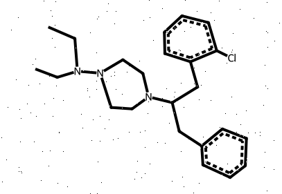 CCN(CC)N1CCN(C(Cc2ccccc2)Cc2ccccc2Cl)CC1